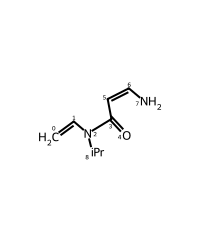 C=CN(C(=O)/C=C\N)C(C)C